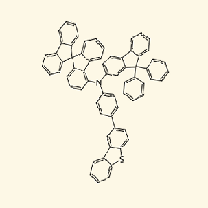 c1ccc(C2(c3ccccc3)c3ccccc3-c3ccc(N(c4ccc(-c5ccc6sc7ccccc7c6c5)cc4)c4cccc5c4-c4ccccc4C54c5ccccc5-c5ccccc54)cc32)cc1